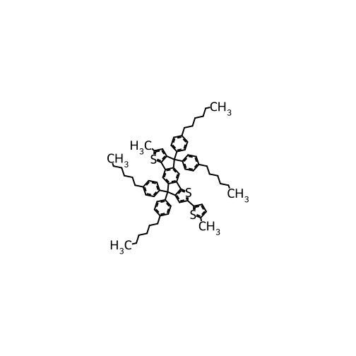 CCCCCCc1ccc(C2(c3ccc(CCCCCC)cc3)c3cc4c(cc3-c3sc(C)cc32)C(c2ccc(CCCCCC)cc2)(c2ccc(CCCCCC)cc2)c2cc(-c3ccc(C)s3)sc2-4)cc1